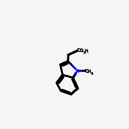 Cn1c([CH]C(=O)O)cc2ccccc21